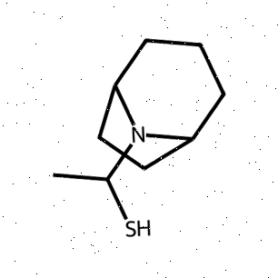 CC(S)N1C2CCCC1CC2